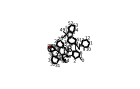 Cc1cc2c3c(c1)N(c1ccccc1)c1cc4c(cc1B3N1c3ccccc3C3(c5ccccc5-c5ccccc53)c3cccc-2c31)C(C)(C)c1ccccc1-4